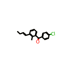 CCC=Cc1cccc(C(=O)c2ccc(Cl)cc2)c1C